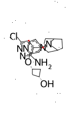 Nc1nnc(Cl)cc1N1CC2CCC(C1)N2c1ccnc(O[C@H]2C[C@@H](O)C2)c1